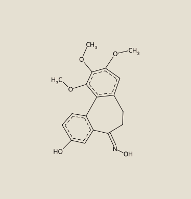 COc1cc2c(c(OC)c1OC)-c1ccc(O)cc1C(=NO)CC2